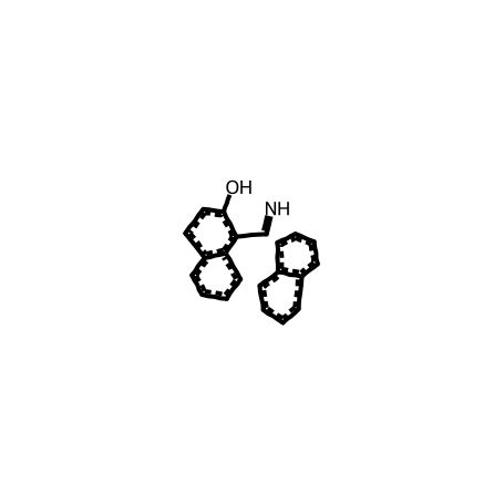 N=Cc1c(O)ccc2ccccc12.c1ccc2ccccc2c1